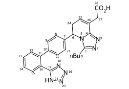 CCCCc1nnc2n1C(c1ccc(-c3ccccc3-c3nnn[nH]3)cc1)CC=C2CC(=O)O